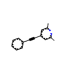 FC(F)(F)c1cc(C#Cc2ccccc2)cc(C(F)(F)F)n1